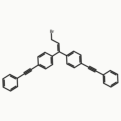 BrCC=C(c1ccc(C#Cc2ccccc2)cc1)c1ccc(C#Cc2ccccc2)cc1